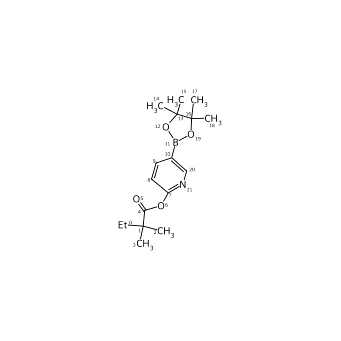 CCC(C)(C)C(=O)Oc1ccc(B2OC(C)(C)C(C)(C)O2)cn1